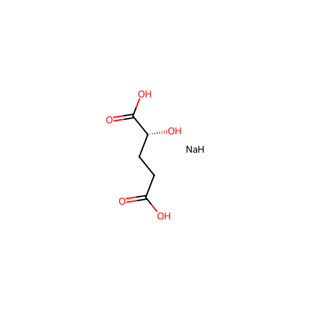 O=C(O)CC[C@@H](O)C(=O)O.[NaH]